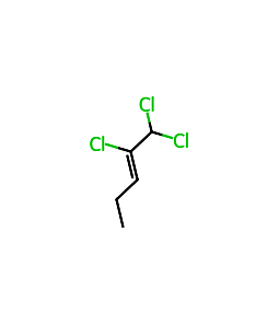 CCC=C(Cl)C(Cl)Cl